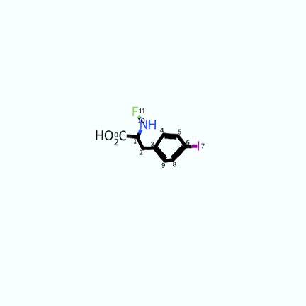 O=C(O)C(Cc1ccc(I)cc1)NF